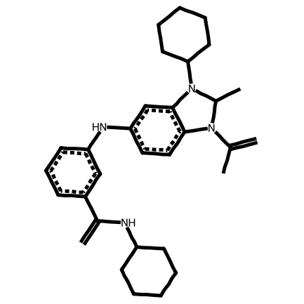 C=C(NC1CCCCC1)c1cccc(Nc2ccc3c(c2)N(C2CCCCC2)C(C)N3C(=C)C)c1